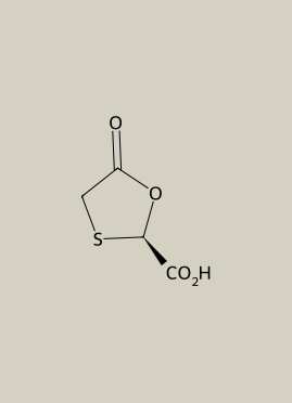 O=C1CS[C@H](C(=O)O)O1